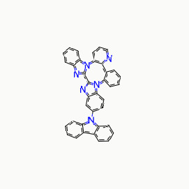 c1ccc2c(c1)nc1c3nc4cc(-n5c6ccccc6c6ccccc65)ccc4n3c3ccccc3c3ncccc3n21